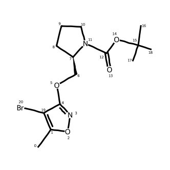 Cc1onc(OC[C@H]2CCCN2C(=O)OC(C)(C)C)c1Br